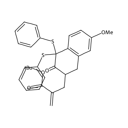 C=C(CC1Cc2cc(OC)ccc2C(Sc2ccccc2)(Sc2ccccc2)C1=O)C(=O)OC(C)(C)C